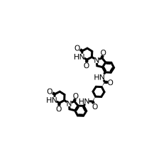 O=C1CCC(N2Cc3c(NC(=O)[C@H]4CC[C@@H](C(=O)Nc5cccc6c5C(=O)N(C5CCC(=O)NC5=O)C6)CC4)cccc3C2=O)C(=O)N1